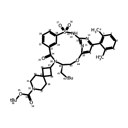 Cc1cccc(C)c1-c1cc2nc(n1)NS(=O)(=O)c1cccc(c1)C(=O)N(C1CC3(CCN(C(=O)OC(C)(C)C)CC3)C1)[C@H](CC(C)(C)C)CO2